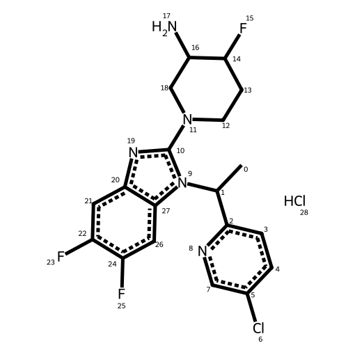 CC(c1ccc(Cl)cn1)n1c(N2CCC(F)C(N)C2)nc2cc(F)c(F)cc21.Cl